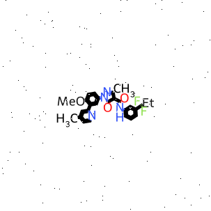 CCC(F)(F)c1cccc(NC(=O)C2C(=O)N(c3ccc(OC)c(-c4cc(C)ccn4)c3)N=C2C)c1